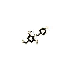 COc1cc(C=O)cc(OC)c1OCc1ccc(Cl)cc1